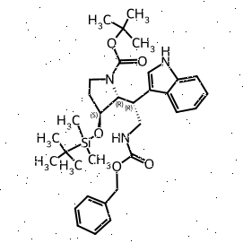 CC(C)(C)OC(=O)N1CC[C@H](O[Si](C)(C)C(C)(C)C)[C@H]1[C@@H](CNC(=O)OCc1ccccc1)c1c[nH]c2ccccc12